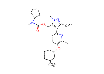 COc1nn(C)c(COC(=O)N(C)C2CCCC2)c1-c1ccc(O[C@H]2CCC[C@H](C(=O)O)C2)c(C)n1